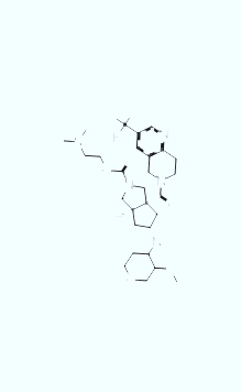 COC1COCCC1N[C@@H]1C[C@H]2CN(C(=O)OCCN(C)C)C[C@@]2(C(=O)N2CCc3ncc(C(F)(F)F)cc3C2)C1